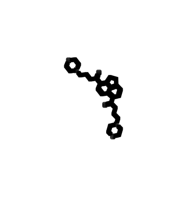 O=C(CCCN1CCOCC1)c1ccc2c(C(=O)CCCN3CCOCC3)ccc3c2c1CC3